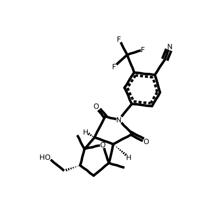 CC12C[C@H](CO)C(C)(O1)[C@H]1C(=O)N(c3ccc(C#N)c(C(F)(F)F)c3)C(=O)[C@H]12